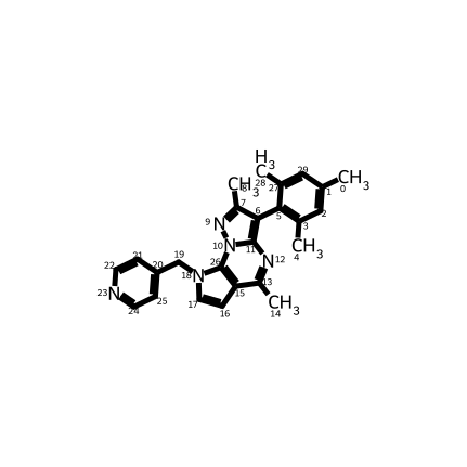 Cc1cc(C)c(-c2c(C)nn3c2nc(C)c2ccn(Cc4ccncc4)c23)c(C)c1